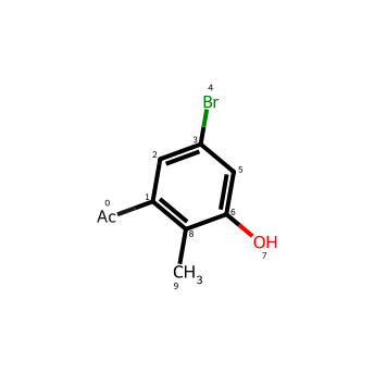 CC(=O)c1cc(Br)cc(O)c1C